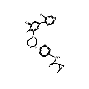 CC1CC1C(=O)Nc1ccc([C@H]2CN(c3nc(-c4ccncc4F)cc(=O)n3C)CCO2)cc1